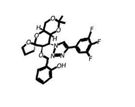 CC1(C)OC[C@H]2O[C@@]3(CCCO3)[C@H](OCc3ccccc3O)[C@@H](n3cc(-c4cc(F)c(F)c(F)c4)nn3)[C@H]2O1